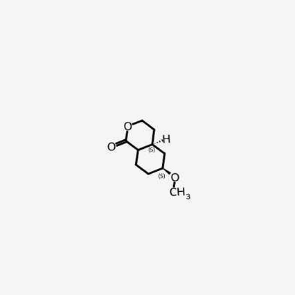 CO[C@H]1CCC2C(=O)OCC[C@H]2C1